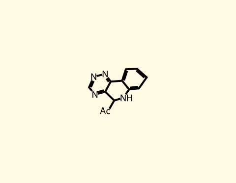 CC(=O)C1Nc2ccccc2-c2nncnc21